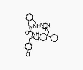 O=C(N[C@H](Cc1ccc(Cl)cc1)CN1CCC(Cn2cncn2)(C2CCCCC2)CC1)[C@H]1Cc2ccccc2CN1